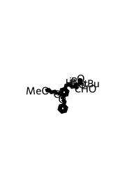 COCCCOc1cc(CC(CC(C=O)NC(=O)OC(C)(C)C)C(C)C)ccc1OCc1ccccc1